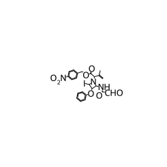 C=C(C)C(C(=O)OCc1ccc([N+](=O)[O-])cc1)N1C(I)C(Oc2ccccc2)C1NC(=O)C=O